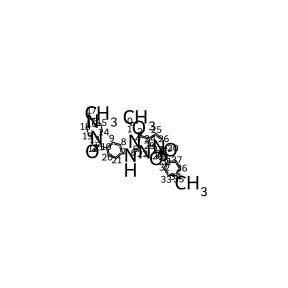 CCOc1nc(Nc2ccc(C(=O)N3CCN(C)CC3)cc2)nc2c1ccn2S(=O)(=O)c1ccc(C)cc1